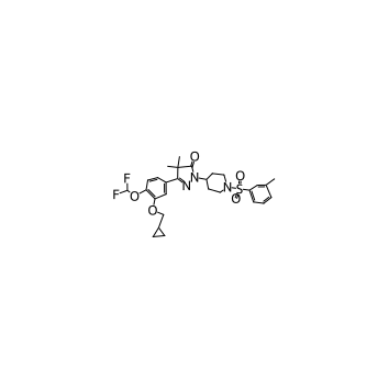 Cc1cccc(S(=O)(=O)N2CCC(N3N=C(c4ccc(OC(F)F)c(OCC5CC5)c4)C(C)(C)C3=O)CC2)c1